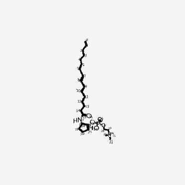 CCCCCCCCCCCCCCCC(=O)N[C@H]1CCC[C@H]1OP(=O)(O)OCC[N+](C)(C)C